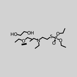 C=C.CCOCC.CCOP(=O)(OCC)SCCN(CC)CC.OCCO